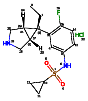 CC[C@@]1(c2cc(NS(=O)(=O)C3CC3)ccc2F)[C@@H]2CNC[C@@H]21.Cl